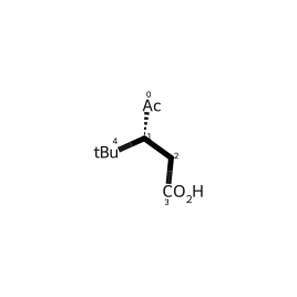 CC(=O)[C@H](CC(=O)O)C(C)(C)C